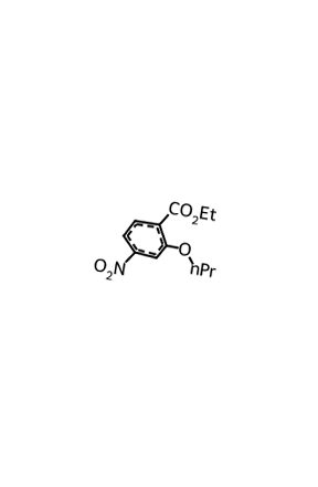 CCCOc1cc([N+](=O)[O-])ccc1C(=O)OCC